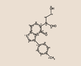 Cc1ccc(-c2csc3ncc(N(C=O)CCO)c(=O)n23)cc1